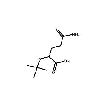 CC(C)(C)NC(CCC(N)=S)C(=O)O